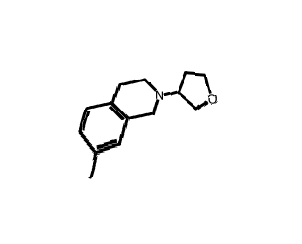 Cc1ccc2c(c1)CN(C1CCOC1)CC2